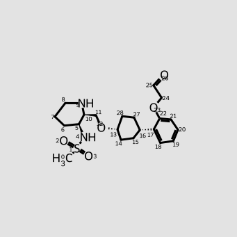 CS(=O)(=O)N[C@H]1CCCN[C@H]1CO[C@H]1CC[C@@H](c2ccccc2OCC=O)CC1